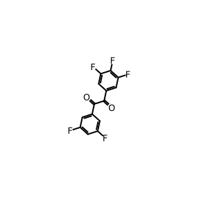 O=C(C(=O)c1cc(F)c(F)c(F)c1)c1cc(F)cc(F)c1